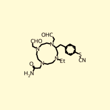 CCN1CCN(CC(N)=O)CCN(CC=O)CCN(CC=O)C(Cc2ccc(SC#N)cc2)C1